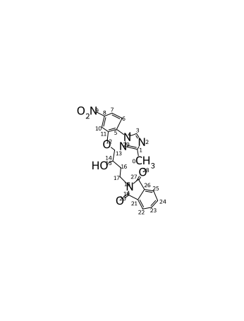 Cc1ncn(-c2ccc([N+](=O)[O-])cc2OCC(O)CCN2C(=O)c3ccccc3C2=O)n1